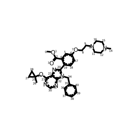 COC(=O)c1cc(OCCN2CCN(C)CC2)ccc1-c1nc2c(OC3(C)CC3)ncnc2n1Cc1ccccc1